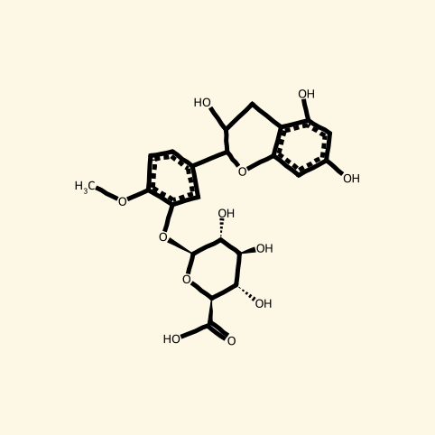 COc1ccc(C2Oc3cc(O)cc(O)c3CC2O)cc1O[C@@H]1O[C@H](C(=O)O)[C@@H](O)[C@H](O)[C@H]1O